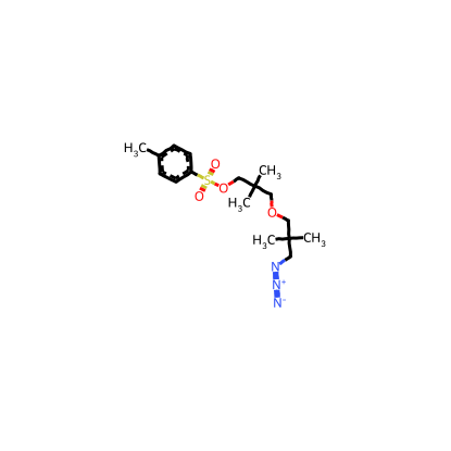 Cc1ccc(S(=O)(=O)OCC(C)(C)COCC(C)(C)CN=[N+]=[N-])cc1